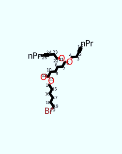 CCCC#CCCOC(CCCCC(=O)OCCCCCCBr)OCCC#CCCC